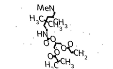 C=CC(=O)OCC(COC(=O)C(=C)C)OC(=O)NCCC(C)(C)CC(C)CNC